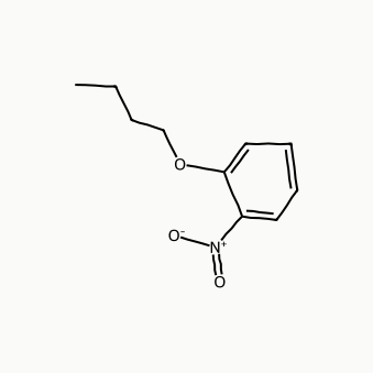 CCCCOc1ccccc1[N+](=O)[O-]